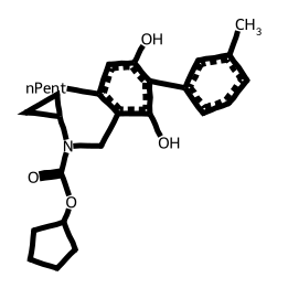 CCCCCc1cc(O)c(-c2cccc(C)c2)c(O)c1CN(C(=O)OC1CCCC1)C1CC1